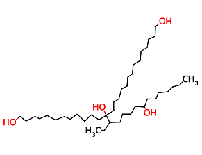 CCCCCCCC(O)CCCCC(CC)C(O)(CCCCCCCCCCCCO)CCCCCCCCCCCCCCO